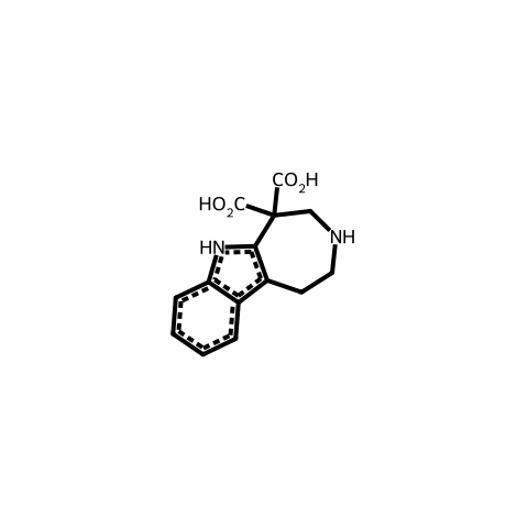 O=C(O)C1(C(=O)O)CNCCc2c1[nH]c1ccccc21